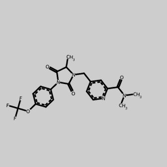 CC1C(=O)N(c2ccc(OC(F)(F)F)cc2)C(=O)N1Cc1ccnc(C(=O)N(C)C)c1